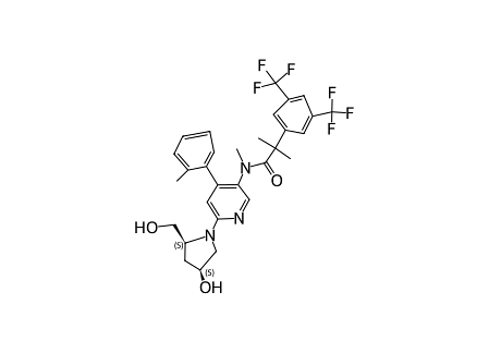 Cc1ccccc1-c1cc(N2C[C@@H](O)C[C@H]2CO)ncc1N(C)C(=O)C(C)(C)c1cc(C(F)(F)F)cc(C(F)(F)F)c1